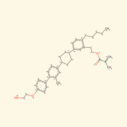 C=C(C)C(=O)OCCc1cc(C2CCC(c3ccc(-c4ccc(OCCO)cc4)c(C)c3)CC2)ccc1CCCCC